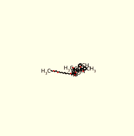 CCCCCCCCCCCC=CCCCCn1nnc(C(NC(=O)CC)C(=O)Nc2cnc3cc(C)cc(C)c3c2-c2ccccc2Cl)n1